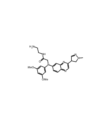 COc1cc(OC)cc(N(CC(=O)NCCN)c2ccc3ncc(C4C=NN(C)C4)nc3c2)c1